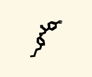 CCCCc1ccc(OCC(=O)c2ccc(Cl)cc2)cc1